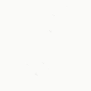 O=C1N(c2c(F)cc(N3CCN(CC(F)(F)F)CC3)cc2F)c2ncc(I)n2C12CC2